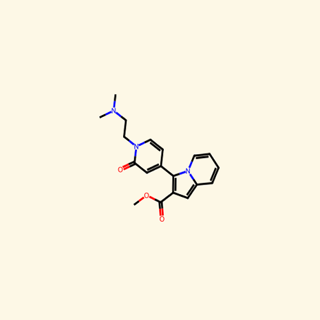 COC(=O)c1cc2ccccn2c1-c1ccn(CCN(C)C)c(=O)c1